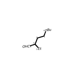 CCCCCCC(C=O)CC